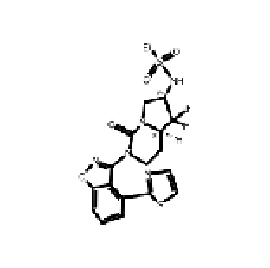 CCS(=O)(=O)N[C@@H]1CN2C(=O)N(c3noc4cccc(-c5nccs5)c34)CC[C@@H]2C1(F)F